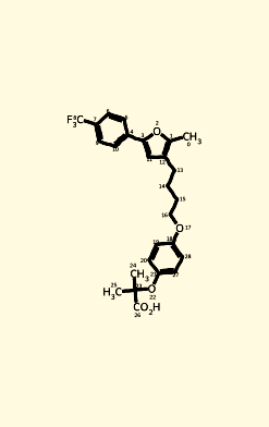 Cc1oc(-c2ccc(C(F)(F)F)cc2)cc1CCCCOc1ccc(OC(C)(C)C(=O)O)cc1